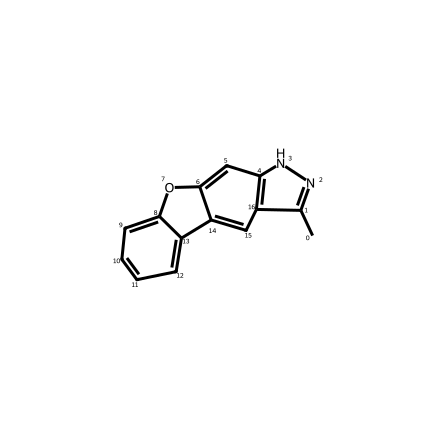 Cc1n[nH]c2cc3oc4ccccc4c3cc12